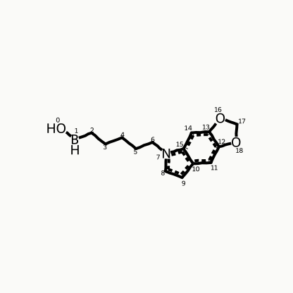 OBCCCCCn1ccc2cc3c(cc21)OCO3